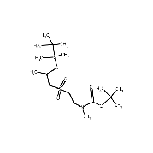 CC(CS(=O)(=O)CCN(C)C(=O)OC(C)(C)C)O[Si](C)(C)C(C)(C)C